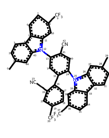 Cc1ccc2c3ccc(C(F)(F)F)cc3n(-c3cc(-c4ccc(C(F)(F)F)cc4C#N)c(-n4c5cc(C)ccc5c5ccc(C(F)(F)F)cc54)cc3C#N)c2c1